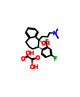 CN(C)CCC[C@]1(O)c2ccccc2CCC[C@H]1c1ccc(F)cc1F.O=C(O)C(=O)O